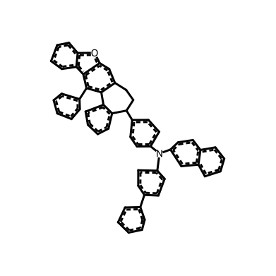 c1ccc(-c2ccc(N(c3ccc(C4CCc5cc6oc7ccccc7c6c(-c6ccccc6)c5-c5ccccc54)cc3)c3ccc4ccccc4c3)cc2)cc1